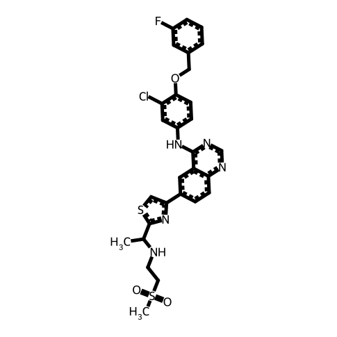 CC(NCCS(C)(=O)=O)c1nc(-c2ccc3ncnc(Nc4ccc(OCc5cccc(F)c5)c(Cl)c4)c3c2)cs1